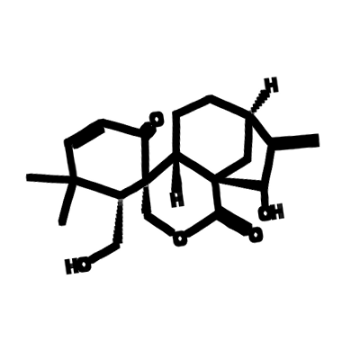 C=C1C(O)[C@]23C[C@H]1CC[C@H]2[C@]1(COC3=O)C(=O)C=CC(C)(C)[C@H]1CO